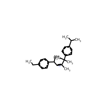 CCc1ccc(C(N)/C=C(/C)C(C)(C)c2ccc(C(C)C)cc2)cc1